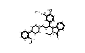 CCN1C(=O)c2ccccc2C1C(CCN1CCC(c2ccccc2SC)CC1)c1ccc(Cl)c(Cl)c1.Cl